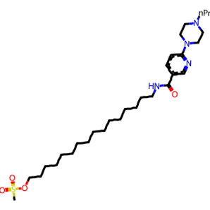 CCCN1CCN(c2ccc(C(=O)NCCCCCCCCCCCCCCCCOS(C)(=O)=O)cn2)CC1